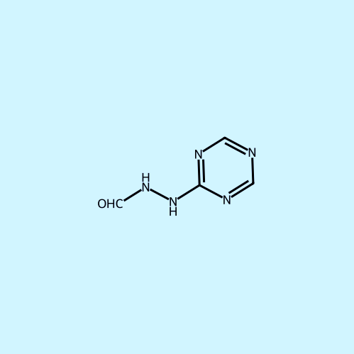 O=CNNc1ncncn1